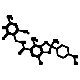 CCNC1CCC(C2(C)Oc3c(Br)cc(C(=O)NCc4c(C)cc(C)[nH]c4=O)c(C)c3O2)CC1